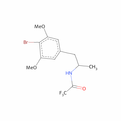 COc1cc(CC(C)NC(=O)C(F)(F)F)cc(OC)c1Br